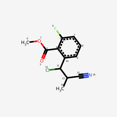 COC(=O)c1c(F)cccc1C(Cl)C(C)C#N